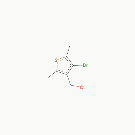 Cc1sc(C)c(C[O])c1Br